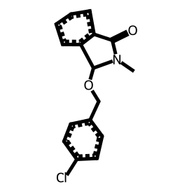 CN1C(=O)c2ccccc2C1OCc1ccc(Cl)cc1